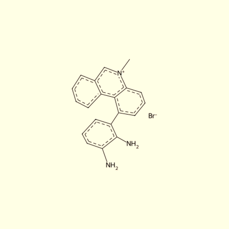 C[n+]1cc2ccccc2c2c(-c3cccc(N)c3N)cccc21.[Br-]